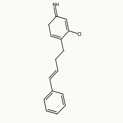 N=C1C=C(Cl)C([CH]CC=Cc2ccccc2)=CC1